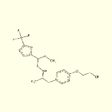 COC(CNC(C)Cc1ccc(OCCO)cc1)c1csc(C(F)(F)F)n1